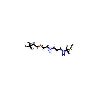 CSC(C)(C)NCCCNCCSCCC(C)(C)C